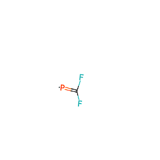 FC(F)=[P]